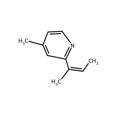 C/C=C(/C)c1cc(C)ccn1